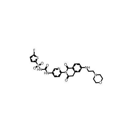 O=C(Nc1ccc(N2C(=O)Cc3cc(NCCN4CCOCC4)ccc3C2=O)nc1)NS(=O)(=O)c1ccc(F)s1